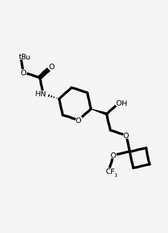 CC(C)(C)OC(=O)N[C@@H]1CC[C@@H](C(O)COC2(OC(F)(F)F)CCC2)OC1